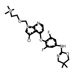 CC1(C)CN=C(Nc2cc(F)c(Oc3ccnc4c3c(Cl)cn4COCC[Si](C)(C)C)c(F)c2)OC1